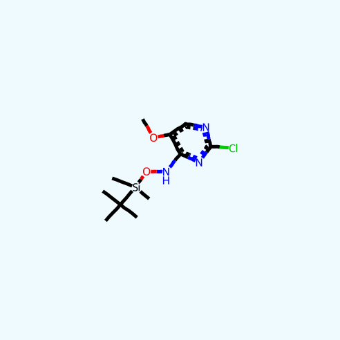 COc1cnc(Cl)nc1NO[Si](C)(C)C(C)(C)C